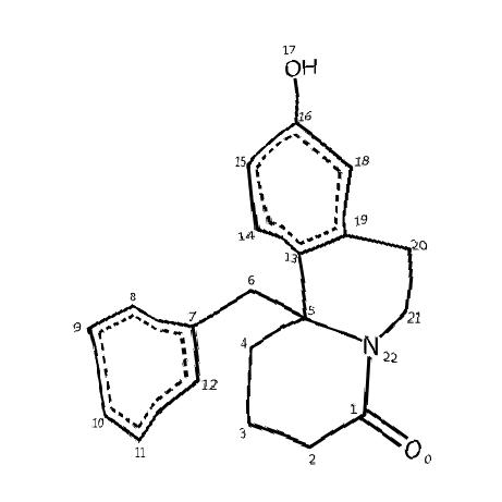 O=C1CCCC2(Cc3ccccc3)c3ccc(O)cc3CCN12